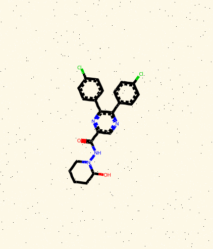 O=C(NN1CCCCC1O)c1cnc(-c2ccc(Cl)cc2)c(-c2ccc(Cl)cc2)n1